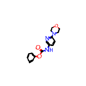 O=C(Nc1ccc(N2CCOCC2)nc1)Oc1ccccc1